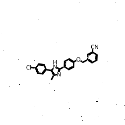 Cc1nc(-c2ccc(OCc3cccc(C#N)c3)cc2)[nH]c1-c1ccc(Cl)cc1